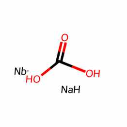 O=C(O)O.[NaH].[Nb]